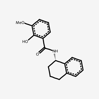 COc1cccc(C(=O)N[C@H]2CCCc3ccccc32)c1O